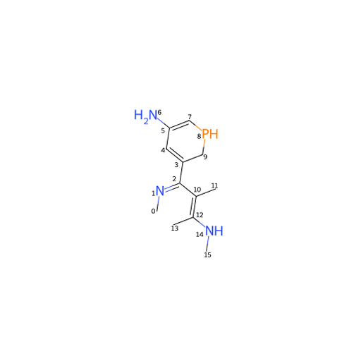 C/N=C(C1=CC(N)=CPC1)\C(C)=C(/C)NC